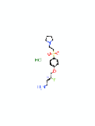 Cl.NC/C=C(\F)COc1ccc(S(=O)(=O)CCN2CCCC2)cc1